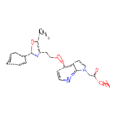 Cc1oc(-c2ccccc2)nc1CCOc1ccnc2c1ccn2CC(=O)O